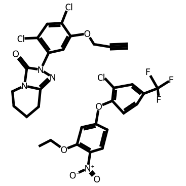 C#CCOc1cc(-n2nc3n(c2=O)CCCC3)c(Cl)cc1Cl.CCOc1cc(Oc2ccc(C(F)(F)F)cc2Cl)ccc1[N+](=O)[O-]